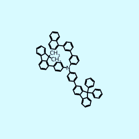 CC1(C)c2ccccc2-c2cccc(-c3ccc(N(c4ccc(-c5ccc6c(c5)C(c5ccccc5)(c5ccccc5)c5ccccc5-6)cc4)c4cccc(-c5cccc(-c6cccc7ccccc67)c5)c4)cc3)c21